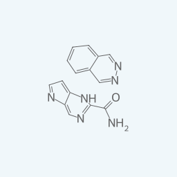 NC(=O)c1ncc2nccc-2[nH]1.c1ccc2cnncc2c1